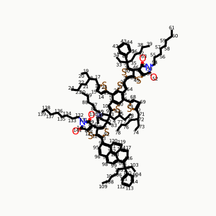 C/C=C\C(CC(C)CC)(c1cc2c(-c3ccc(CC(CC)CCCC)s3)c3sc(-c4sc(C(CC)(CCCCC)c5ccccc5)c5c6c(sc45)C(=O)N(CCCCCCCC)C6=O)cc3c(-c3ccc(CC(CC)CCCC)s3)c2s1)C(C)(CCCCCCC)c1sc(-c2ccc3ccc4c(C(CC)(CCCCC)c5ccccc5)ccc5ccc2c3c54)c2sc3c(c12)C(=O)N(CCCCCCCC)C3=O